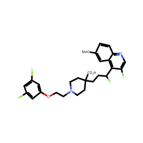 COc1ccc2ncc(F)c(C(F)CCC3(C(=O)O)CCN(CCOc4cc(F)cc(F)c4)CC3)c2c1